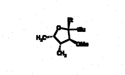 CC[C@]1(C(C)(C)C)O[C@@H](C)[C@@H](C)[C@@H]1OC